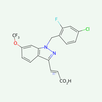 O=C(O)/C=C/c1nn(Cc2ccc(Cl)cc2F)c2cc(OC(F)(F)F)ccc12